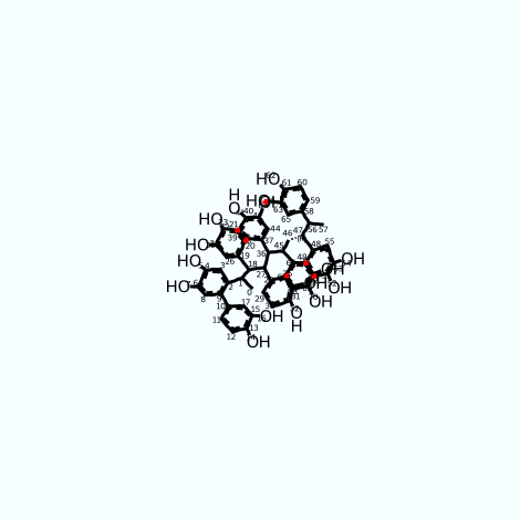 CC(c1cc(O)c(O)cc1-c1ccc(O)c(O)c1)C(c1ccc(O)c(O)c1)C(c1ccc(O)c(O)c1)C(c1ccc(O)c(O)c1)C(C[C@@H](c1ccc(O)c(O)c1)C(C)c1ccc(O)c(O)c1)c1ccc(O)c(O)c1